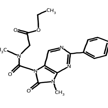 CCOC(=O)CN(C)C(=O)n1c(=O)n(C)c2nc(-c3ccccc3)ncc21